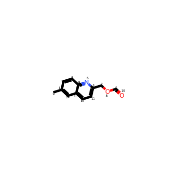 Cc1ccc2nc(COC=O)ccc2c1